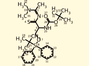 C/C(=N/C(=S)C(CO[Si](c1ccccc1)(c1ccccc1)C(C)(C)C)NC(=O)OC(C)(C)C)N(C)C